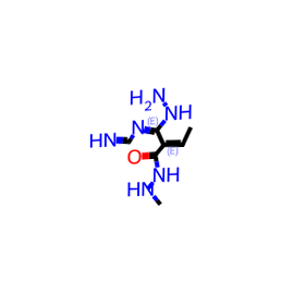 C/C=C(C(=O)NNC)\C(=N/C=N)NN